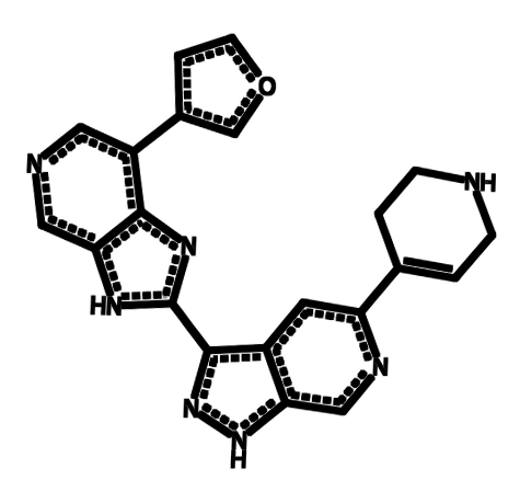 C1=C(c2cc3c(-c4nc5c(-c6ccoc6)cncc5[nH]4)n[nH]c3cn2)CCNC1